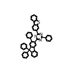 c1ccc(-c2nc(-c3ccc4c(c3)sc3ccccc34)nc(-c3cc4c(cc3-c3ccccc3)C(c3ccccc3)(c3ccccc3)c3ccccc3-4)n2)cc1